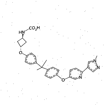 Cn1cc(-c2ccc(Oc3ccc(C(C)(C)c4ccc(O[C@H]5C[C@H](NC(=O)O)C5)cc4)cc3)cn2)cn1